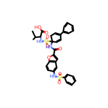 CC(C)[C@H](NS(=O)(=O)C1(NC(=O)c2cc3cc(NS(=O)(=O)c4ccccc4)ccc3o2)C=CC(c2ccccc2)=CC1)C(=O)O